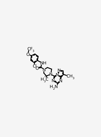 Cc1cnn2c(N3CCN(C(=O)Nc4ccc(OC(F)(F)F)cc4Cl)C[C@@H]3C)nc(N)nc12